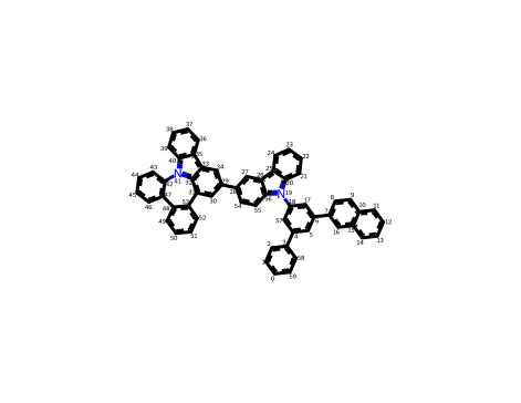 c1ccc(-c2cc(-c3ccc4ccccc4c3)cc(-n3c4ccccc4c4cc(-c5cc6c7c(c5)c5ccccc5n7-c5ccccc5-c5ccccc5-6)ccc43)c2)cc1